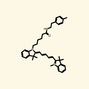 Cc1ccc(CCNC(=O)CCCCCN2/C(=C/C=C/C=C/C3=[N+](C)c4ccccc4C3(C)C)C(C)(C)c3ccccc32)cc1